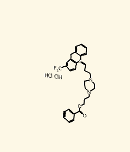 Cl.Cl.O=C(OCCCN1CCN(CCC=S2c3ccccc3Cc3cc(C(F)(F)F)ccc32)CC1)c1ccccc1